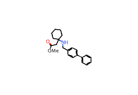 COC(=O)CC1(NCc2ccc(-c3ccccc3)cc2)CCCCC1